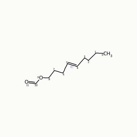 CCCC/C=C/CCCO[C]=O